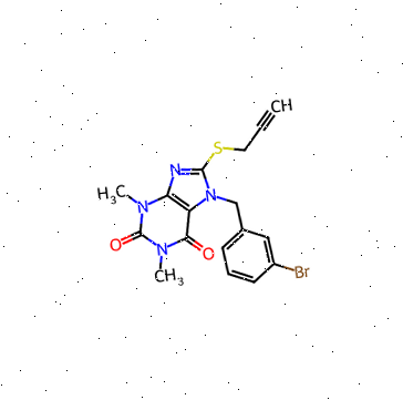 C#CCSc1nc2c(c(=O)n(C)c(=O)n2C)n1Cc1cccc(Br)c1